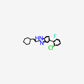 Fc1cccc(Cl)c1-c1ccc2[nH]c(/C=C/C3CCCCC3)nc2c1